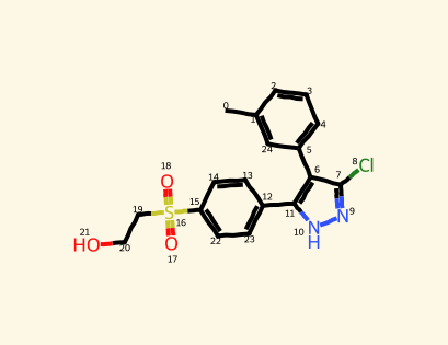 Cc1cccc(-c2c(Cl)n[nH]c2-c2ccc(S(=O)(=O)CCO)cc2)c1